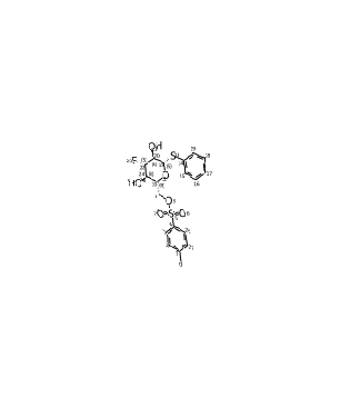 Cc1ccc(S(=O)(=O)OC[C@H]2O[C@@H](Sc3ccccc3)[C@H](O)[C@@H](F)[C@@H]2O)cc1